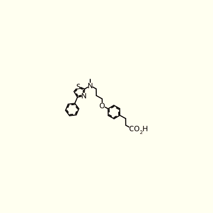 CN(CCCOc1ccc(CCC(=O)O)cc1)c1nc(-c2ccccc2)cs1